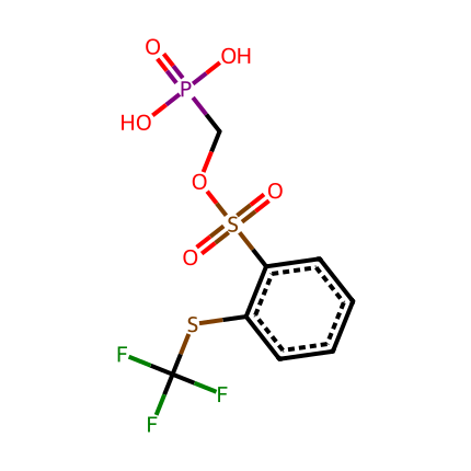 O=P(O)(O)COS(=O)(=O)c1ccccc1SC(F)(F)F